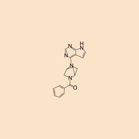 O=C(c1ccccc1)N1CC2CC1CN2c1ncnc2[nH]ccc12